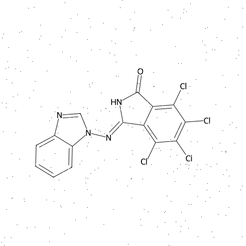 O=C1NC(=Nn2cnc3ccccc32)c2c(Cl)c(Cl)c(Cl)c(Cl)c21